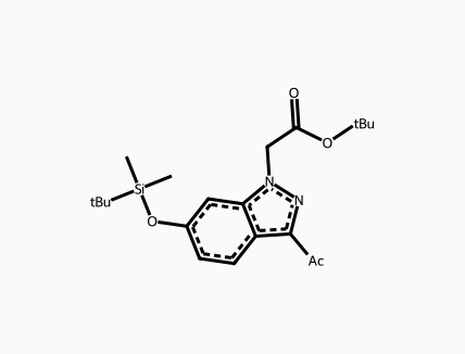 CC(=O)c1nn(CC(=O)OC(C)(C)C)c2cc(O[Si](C)(C)C(C)(C)C)ccc12